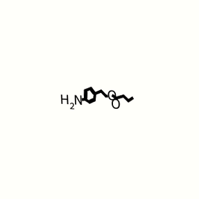 CCCC(=O)OCCc1ccc(N)cc1